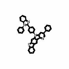 C1=CC2=NC(c3ccc(-n4c5cc6sc7ccccc7c6cc5c5ncc(-c6ccccc6)cc54)cc3)N(c3ccccc3)C2C=C1